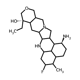 CC[C@@]1(O)COCC2CN3CC4C(NC5CC(F)C(C)C6CC[C@H](N)C4C56)C3CC21